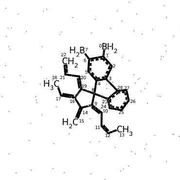 Bc1cc2c(cc1B)C1(/C(=C/C=C\C)C(=C)C(=C/C)/C1=C\C=C)c1ccccc1-2